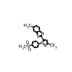 Cc1ccc2nc(-c3cc(C(F)(F)F)nn3-c3ccc(S(C)(=O)=O)cc3)sc2c1